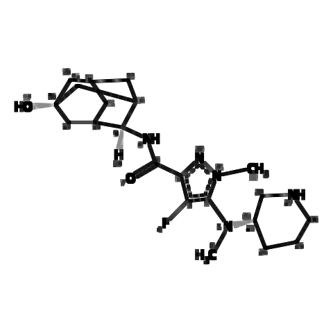 CN(c1c(F)c(C(=O)N[C@H]2C3CC4CC2C[C@](O)(C4)C3)nn1C)[C@H]1CCCNC1